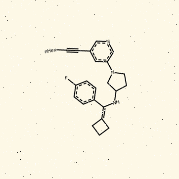 CCCCCCC#Cc1cncc(N2CCC(NC(=C3CCC3)c3ccc(F)cc3)C2)c1